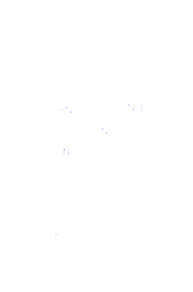 Cc1cc(F)ccc1Nc1c(C(=O)N2CCC(c3ccc(F)cc3)CC2)cnc(S(=O)(=O)Nc2ccccc2)c1Cl